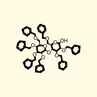 OC1O[C@H](COCc2ccccc2)[C@@H](O[C@@H]2O[C@H](COCc3ccccc3)[C@@H](OCc3ccccc3)[C@H](OCc3ccccc3)[C@H]2OCc2ccccc2)[C@H](OCc2ccccc2)[C@H]1OCc1ccccc1